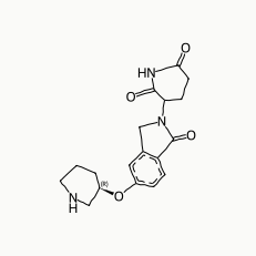 O=C1CCC(N2Cc3cc(O[C@@H]4CCCNC4)ccc3C2=O)C(=O)N1